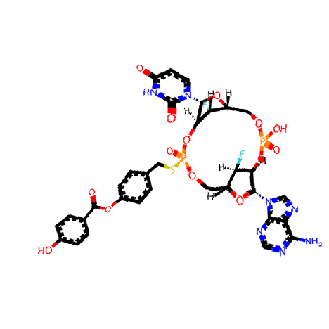 Nc1ncnc2c1ncn2[C@@H]1O[C@@H]2CO[P@@](=O)(SCc3ccc(OC(=O)c4ccc(O)cc4)cc3)O[C@@H]3[C@H](F)[C@@H](COP(=O)(O)O[C@@H]1[C@@H]2F)O[C@H]3n1ccc(=O)[nH]c1=O